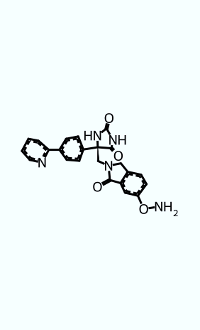 NOc1ccc2c(c1)C(=O)N(C[C@@]1(c3ccc(-c4ccccn4)cc3)NC(=O)NC1=O)C2